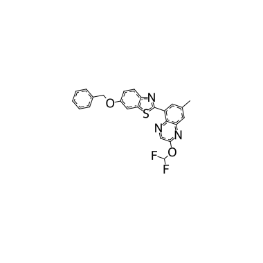 Cc1cc(-c2nc3ccc(OCc4ccccc4)cc3s2)c2ncc(OC(F)F)nc2c1